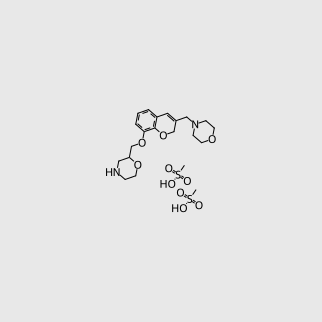 C1=C(CN2CCOCC2)COc2c1cccc2OCC1CNCCO1.CS(=O)(=O)O.CS(=O)(=O)O